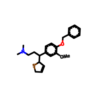 COc1cc(C(CCN(C)C)C2C=CCS2)ccc1OCc1ccccc1